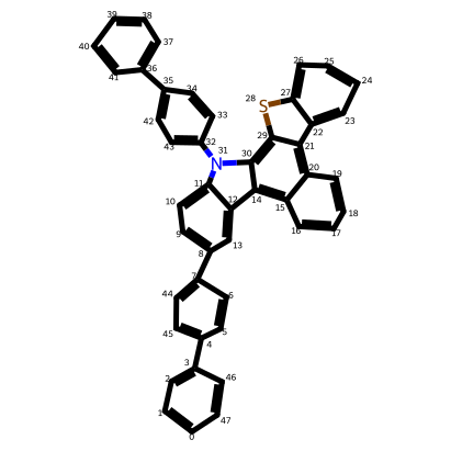 c1ccc(-c2ccc(-c3ccc4c(c3)c3c5ccccc5c5c6ccccc6sc5c3n4-c3ccc(-c4ccccc4)cc3)cc2)cc1